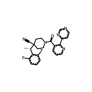 C[C@@H](c1c(F)cccc1F)C1(C#N)CCN(C(=O)c2cccnc2-c2ccncn2)CC1